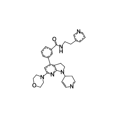 O=C(NCCc1cccnc1)c1cccc(-c2cc(N3CCOCC3)nc3c2CCN3C2C=CN=CC2)c1